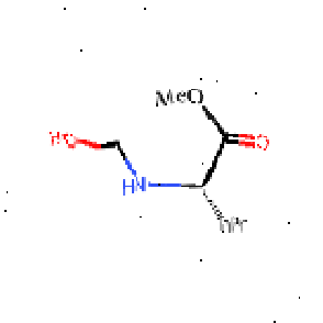 CCC[C@H](NCO)C(=O)OC